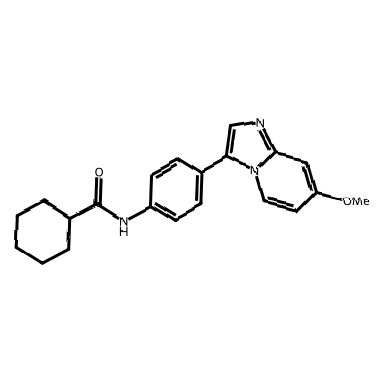 COc1ccn2c(-c3ccc(NC(=O)C4CCCCC4)cc3)cnc2c1